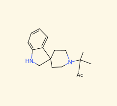 CC(=O)C(C)(C)N1CCC2(CC1)CNc1ccccc12